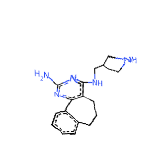 Nc1nc(NCC2CNC2)c2c(n1)-c1ccccc1CCC2